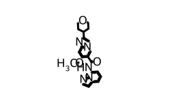 COc1cc2nc(C3CCOCC3)cn2cc1C(=O)Nc1cccc2ccnn12